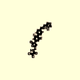 O=C(NC[C@H]1CN(c2cc(F)c(-c3ccc(CNCc4cnn[nH]4)cc3)c(F)c2)C(=O)O1)C(Cl)Cl